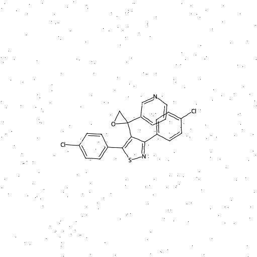 Clc1ccc(-c2nsc(-c3ccc(Cl)cc3)c2C2(c3cccnc3)CO2)cc1